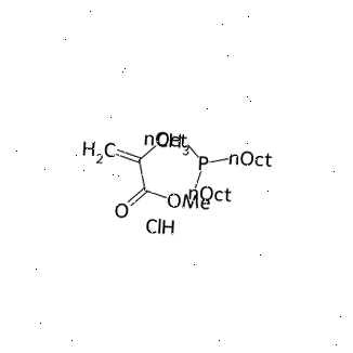 C=C(C)C(=O)OC.CCCCCCCCP(CCCCCCCC)CCCCCCCC.Cl